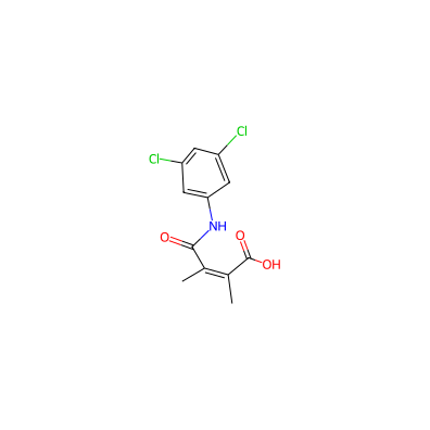 CC(C(=O)O)=C(C)C(=O)Nc1cc(Cl)cc(Cl)c1